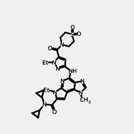 CCn1nc(Nc2nc3c(cc(C(=O)N(C4CC4)C4CC4)n3CC)c3c2ncn3C)cc1C(=O)N1CCS(=O)(=O)CC1